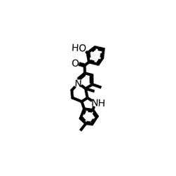 CC1=CC(C(=O)c2ccccc2O)=CN2CCC3c4cc(C)ccc4NC3C12C